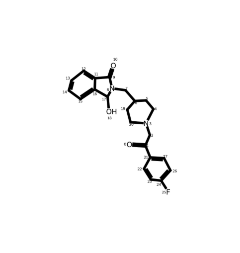 O=C(CN1CCC(CN2C(=O)c3ccccc3C2O)CC1)c1ccc(F)cc1